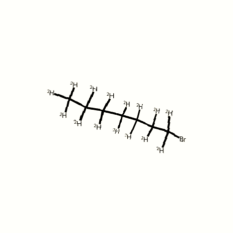 [2H]C([2H])([2H])C([2H])([2H])C([2H])([2H])C([2H])([2H])C([2H])([2H])C([2H])([2H])C([2H])([2H])Br